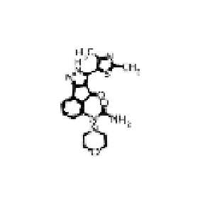 Cc1nc(C)c(-c2[nH]nc3c2C(=O)c2c-3cccc2N(C(N)=O)N2CCOCC2)s1